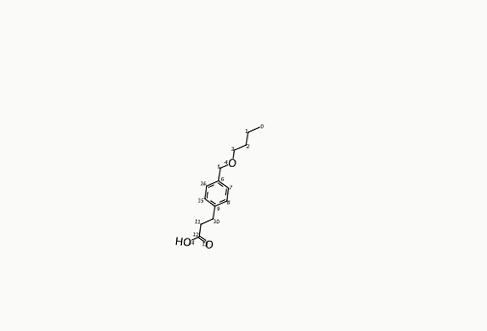 CCCCOCc1ccc(CCC(=O)O)cc1